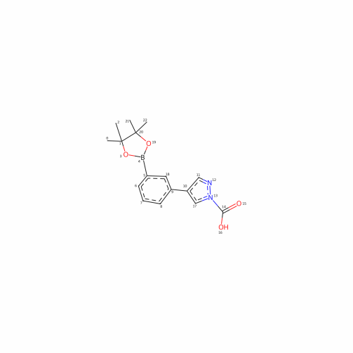 CC1(C)OB(c2cccc(-c3cnn(C(=O)O)c3)c2)OC1(C)C